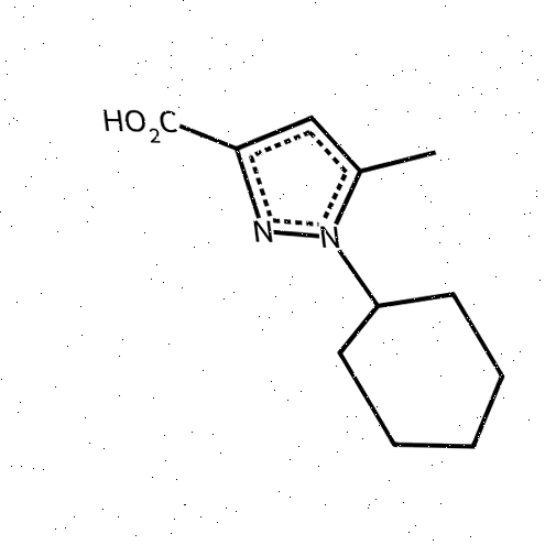 Cc1cc(C(=O)O)nn1C1CCCCC1